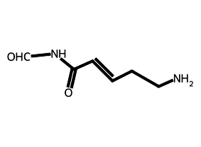 NCCC=CC(=O)NC=O